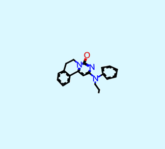 CCCN(c1ccccc1)c1cc2n(c(=O)n1)CCc1ccccc1-2